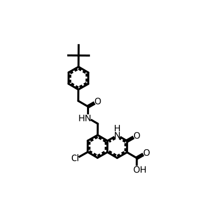 CC(C)(C)c1ccc(CC(=O)NCc2cc(Cl)cc3cc(C(=O)O)c(=O)[nH]c23)cc1